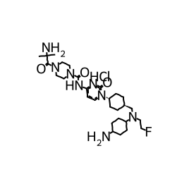 CC(C)(N)C(=O)N1CCN(C(=O)Nc2ccn([C@H]3CC[C@H](CN(CCF)C4CCC(N)CC4)CC3)c(=O)n2)CC1.Cl